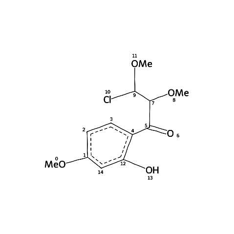 COc1ccc(C(=O)C(OC)C(Cl)OC)c(O)c1